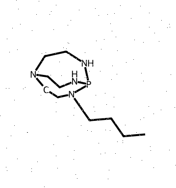 CCCCN1CCN2CCNP1NCC2